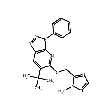 Cn1ncnc1COc1nc2c(cc1C(C)(C)C)nnn2-c1ccccc1